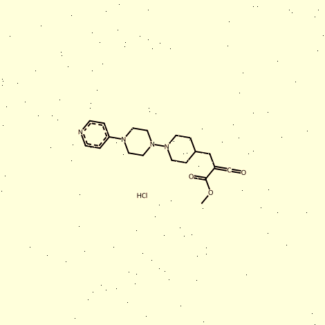 COC(=O)C(=C=O)CC1CCN(N2CCN(c3ccncc3)CC2)CC1.Cl